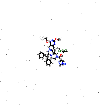 CCOc1nc(OC)c(CN2CC(C(c3ccccc3)c3ccccc3)N3CCN(C(=O)c4c[nH]cn4)C[C@H]3C2)c(OCC(F)(F)F)n1.Cl.Cl.Cl